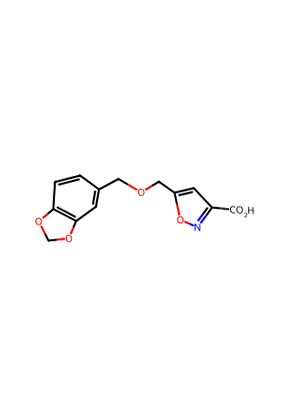 O=C(O)c1cc(COCc2ccc3c(c2)OCO3)on1